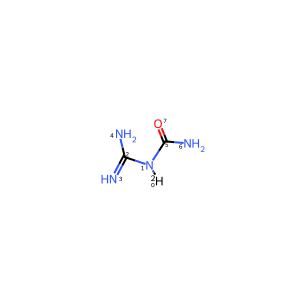 [2H]N(C(=N)N)C(N)=O